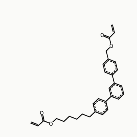 C=CC(=O)OCCCCCCc1ccc(-c2cccc(-c3ccc(COC(=O)C=C)cc3)c2)cc1